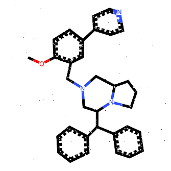 COc1ccc(-c2ccncc2)cc1CN1CC2CCCN2C(C(c2ccccc2)c2ccccc2)C1